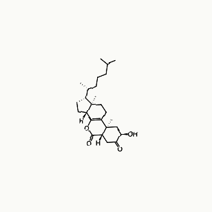 CC(C)CCC[C@@H](C)[C@H]1CC[C@H]2C3=C(CC[C@]12C)[C@@]1(C)C[C@@H](O)C(=O)C[C@@H]1C(=O)O3